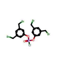 O=P(Cl)(Oc1cc(CBr)cc(CBr)c1)Oc1cc(CBr)cc(CBr)c1